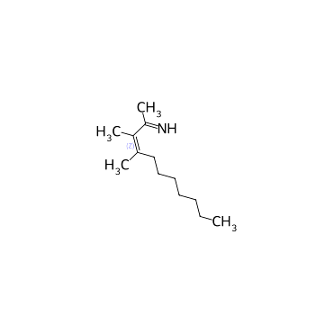 CCCCCCC/C(C)=C(/C)C(C)=N